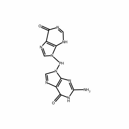 Nc1nc2c(ncn2Pn2cnc3c(=O)nc[nH]c32)c(=O)[nH]1